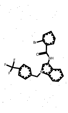 O=C(Nc1cn(Cc2ccc(C(F)(F)F)cc2)c2ccccc12)c1ccccc1Br